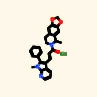 CC1c2cc3c(cc2CCN1C(=O)C=Cc1c(-c2ccccc2)n(C)c2ncccc12)OCO3.Cl